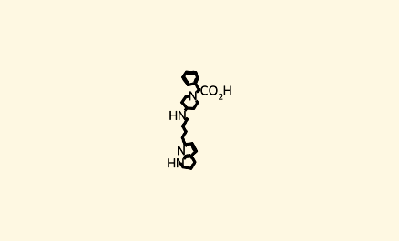 O=C(O)C(c1ccccc1)N1CCC(NCCCCc2ccc3c(n2)NCCC3)CC1